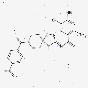 C=C(C)c1ccc(C(=C)N2CCC3(CC2)CN/C(=N\C(=C)c2nc(Cl)c(N)nc2N)N3)cc1